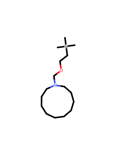 C[Si](C)(C)CCOCN1CCCCCCCCCC1